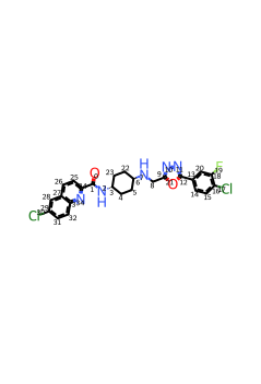 O=C(N[C@H]1CC[C@H](NCc2nnc(-c3ccc(Cl)c(F)c3)o2)CC1)c1ccc2cc(Cl)ccc2n1